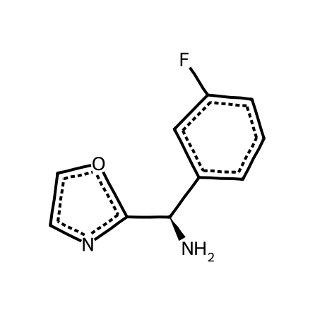 N[C@H](c1cccc(F)c1)c1ncco1